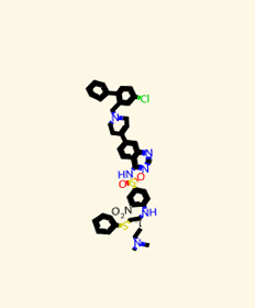 CN(C)CC[C@H](CSc1ccccc1)Nc1ccc(S(=O)(=O)Nc2ncnc3cc(C4=CCN(Cc5cc(Cl)ccc5-c5ccccc5)CC4)ccc23)cc1[N+](=O)[O-]